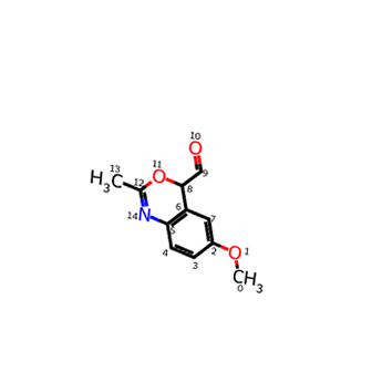 COc1ccc2c(c1)C(C=O)OC(C)=N2